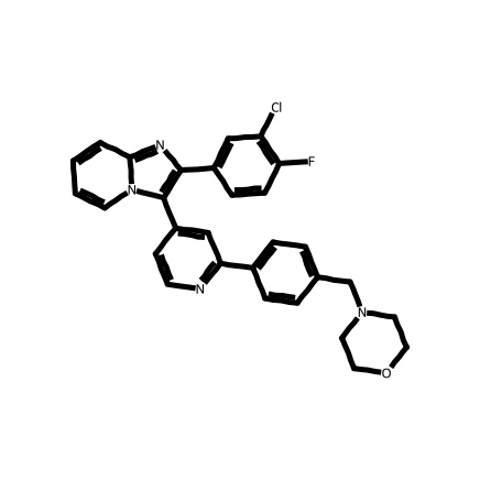 Fc1ccc(-c2nc3ccccn3c2-c2ccnc(-c3ccc(CN4CCOCC4)cc3)c2)cc1Cl